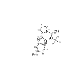 CC(C)(C)OC(O)N1CCC[C@H]1c1nc2cc(Br)ccc2o1